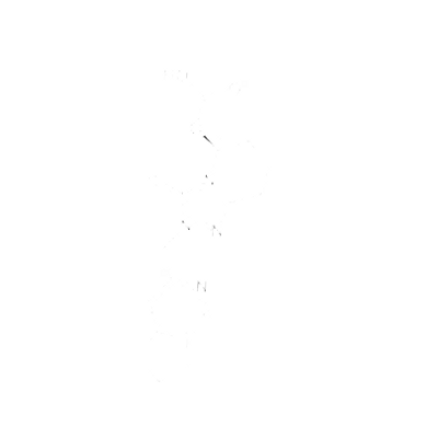 O=C(O)O[C@H]1CCCc2nn(Cc3cc4c(cn3)CCC4)c(=O)n21